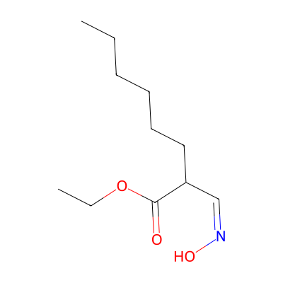 CCCCCCC(/C=N\O)C(=O)OCC